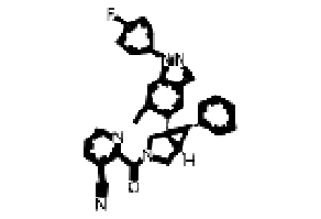 Cc1cc2c(cnn2-c2ccc(F)cc2)cc1[C@@]12CN(C(=O)c3ncccc3C#N)C[C@@H]1[C@H]2c1ccccc1